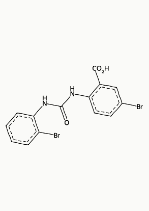 O=C(Nc1ccccc1Br)Nc1ccc(Br)cc1C(=O)O